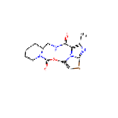 Cc1nc2sccn2c1C(=O)NCC1CCCCN1C(=O)OC(C)(C)C